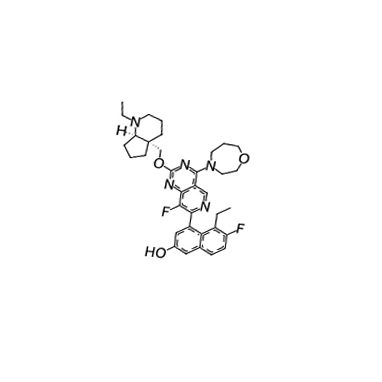 CCc1c(F)ccc2cc(O)cc(-c3ncc4c(N5CCCOCC5)nc(OC[C@]56CCC[C@H]5N(CC)CCC6)nc4c3F)c12